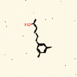 Cc1cc(C)cc(CCCCC(C)O)c1